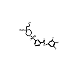 COC1(CCO)CCN(S(=O)(=O)c2cccc(C(=O)Nc3cc(F)c(F)c(F)c3)c2)CC1